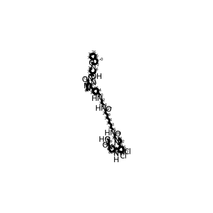 C[C@H](CC(=O)N1CCC(O)(Cn2cnc3c(-c4ccc(CNCCCNC(=O)CCCCCCCCNC(=O)Cn5ccc(-c6cc(Cl)c(Cl)c7[nH]c8c(c67)CN(C(=O)CO)CC8)n5)cc4)n(C)nc3c2=O)CC1)c1ccccc1